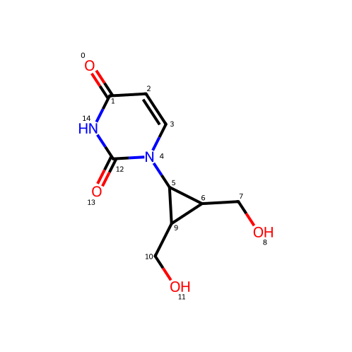 O=c1ccn(C2C(CO)C2CO)c(=O)[nH]1